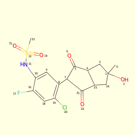 CC1(O)CC2C(=O)C(c3cc(NS(C)(=O)=O)c(F)cc3Cl)C(=O)C2C1